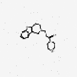 O=C(CCN1CCc2[nH]c3ccccc3c2C1)N1CCOCC1